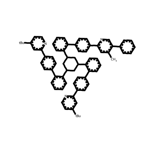 Cc1cc(-c2ccc(-c3ccccc3C3CC(c4ccccc4-c4ccc(-c5cc(C(C)(C)C)ccn5)cc4)CC(c4ccccc4-c4ccc(-c5cc(C(C)(C)C)ccn5)cc4)C3)cc2)ncc1-c1ccccc1